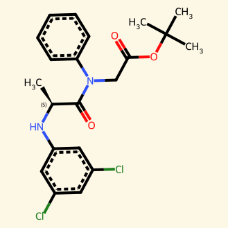 C[C@H](Nc1cc(Cl)cc(Cl)c1)C(=O)N(CC(=O)OC(C)(C)C)c1ccccc1